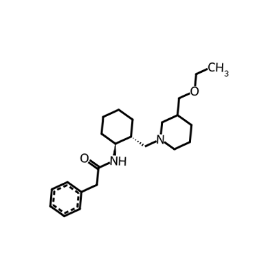 CCOCC1CCCN(C[C@H]2CCCC[C@@H]2NC(=O)Cc2ccccc2)C1